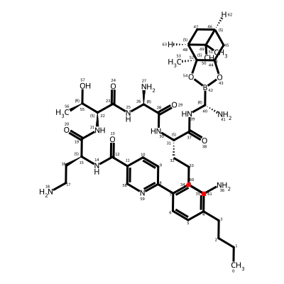 CCCCc1ccc(-c2ccc(C(=O)N[C@@H](CCN)C(=O)N[C@H](C(=O)N[C@@H](N)C(=O)N[C@@H](CCCCN)C(=O)N[C@@H](N)B3OC4C[C@@H]5C[C@@H](C5(C)C)[C@]4(C)O3)[C@@H](C)O)cn2)cc1